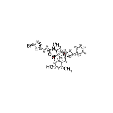 Cc1cc(O)c2c3c1C[C@@H]1[C@@H]4CC[C@@H](N(C)C(=O)/C=C/c5cc(Br)cs5)[C@H](O2)[C@]34CCN1CCc1ccccc1